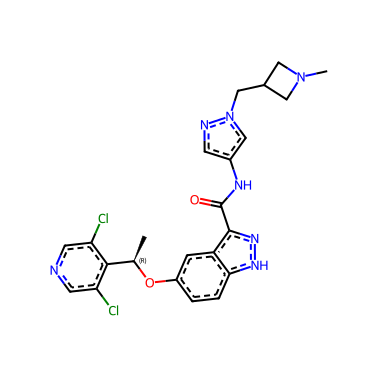 C[C@@H](Oc1ccc2[nH]nc(C(=O)Nc3cnn(CC4CN(C)C4)c3)c2c1)c1c(Cl)cncc1Cl